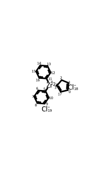 C1=CC[C]([Zr+2]([c]2ccccc2)[c]2ccccc2)=C1.[Cl-].[Cl-]